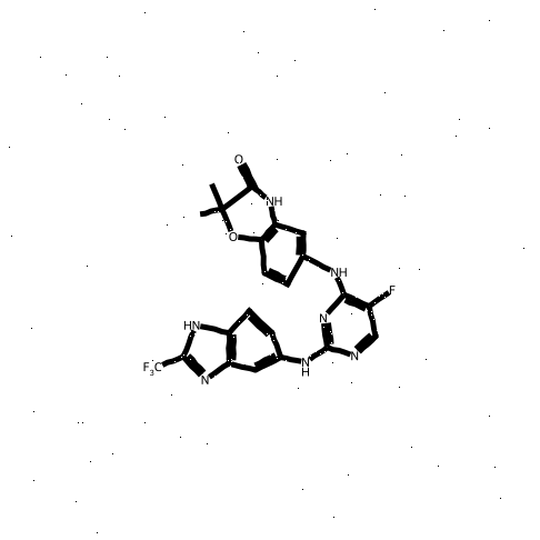 CC1(C)Oc2ccc(Nc3nc(Nc4ccc5[nH]c(C(F)(F)F)nc5c4)ncc3F)cc2NC1=O